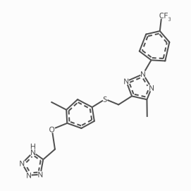 Cc1cc(SCc2nn(-c3ccc(C(F)(F)F)cc3)nc2C)ccc1OCc1nnn[nH]1